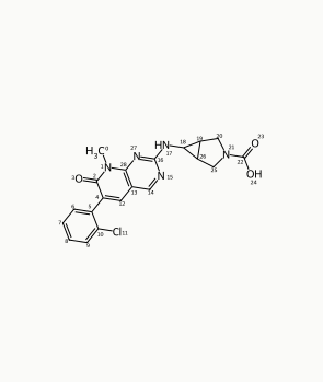 Cn1c(=O)c(-c2ccccc2Cl)cc2cnc(NC3C4CN(C(=O)O)CC43)nc21